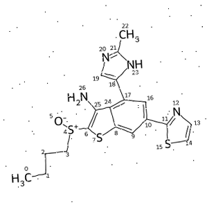 CCCC[S+]([O-])c1sc2cc(-c3nccs3)cc(-c3cnc(C)[nH]3)c2c1N